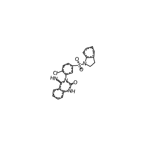 N=c1c2ccccc2[nH]c(=O)n1-c1cc(S(=O)(=O)N2CCc3ccccc32)ccc1Cl